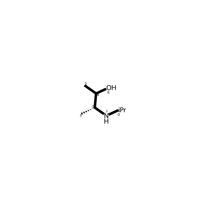 CC(C)N[C@H](C)C(C)O